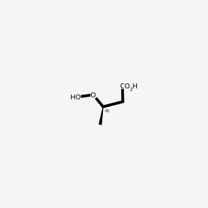 C[C@H](CC(=O)O)OO